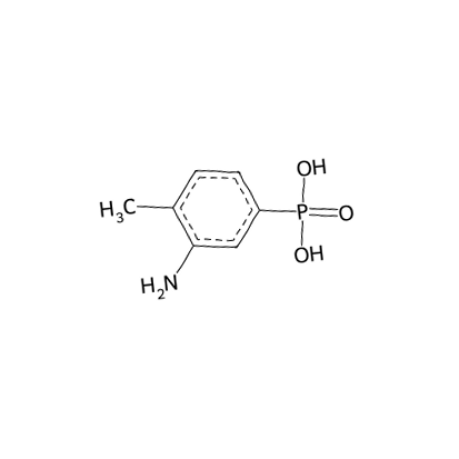 Cc1ccc(P(=O)(O)O)cc1N